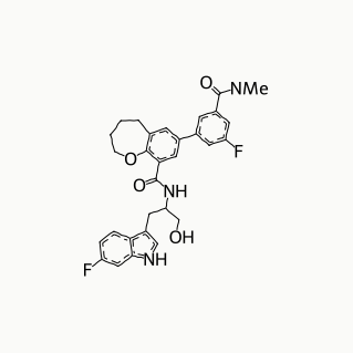 CNC(=O)c1cc(F)cc(-c2cc3c(c(C(=O)NC(CO)Cc4c[nH]c5cc(F)ccc45)c2)OCCCC3)c1